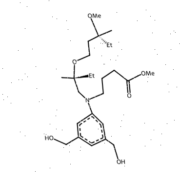 CC[C@](C)(CCO[C@](C)(CC)CN(CCCC(=O)OC)c1cc(CO)cc(CO)c1)OC